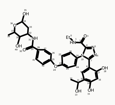 CCNC(=O)c1nnc(-c2cc(C(C)O)c(O)cc2O)n1-c1ccc(Oc2ccc(C(=O)NC3CC(O)OC(C)C3O)cc2)cc1